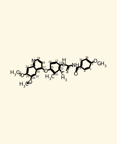 COc1ccc(C(=O)NC(=S)Nc2ccc(Oc3ccnc4cc(OC)c(OC)cc34)c(C)c2C)cc1